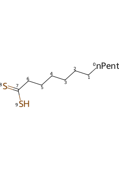 CCCCCCCCCCCC(=S)S